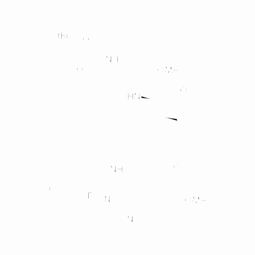 COC(=O)[C@H](NCCNC(=O)OC(C)(C)C)[C@H]1CC[C@H](Oc2cc3c(Nc4cccc(Cl)c4F)ncnc3cc2OC)CC1